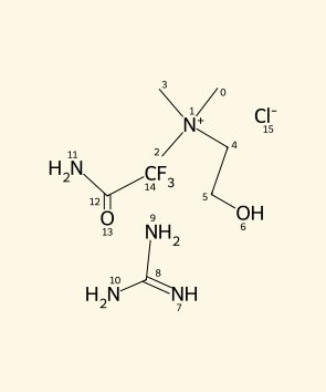 C[N+](C)(C)CCO.N=C(N)N.NC(=O)C(F)(F)F.[Cl-]